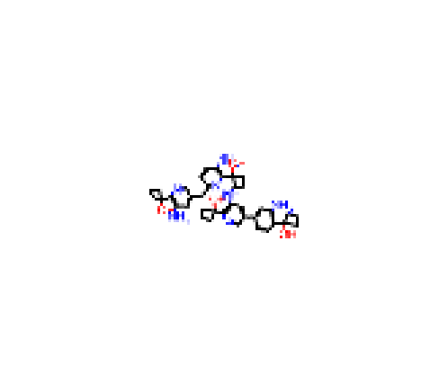 Nc1cc(-c2cnc(C3(O)CCC3)c(NC3CCC3(O)c3nc(Cc4cnc(C5(O)CCC5)c(N)c4)ccc3N)c2)ccc1C1(O)CCC1